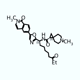 CCC(=O)CCCCC[C@H](NC(=O)[C@H]1CC12CCN(C)CC2)c1ncc(-c2ccc3c(=O)n(C)ccc3c2)o1